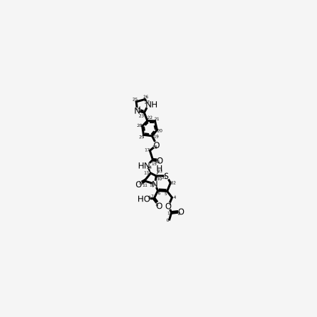 CC(=O)OCC1=C(C(=O)O)N2C(=O)[C@@H](NC(=O)COc3ccc(C4=NCCN4)cc3)[C@H]2SC1